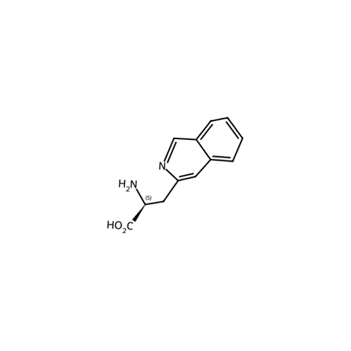 N[C@@H](Cc1cc2ccccc2cn1)C(=O)O